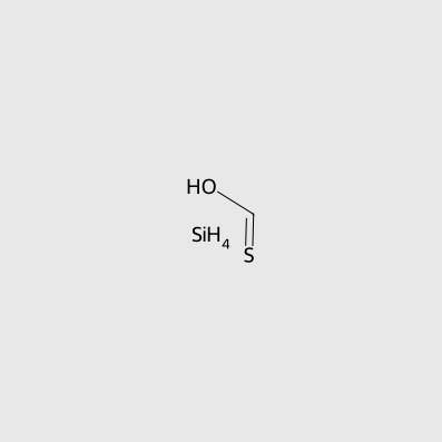 OC=S.[SiH4]